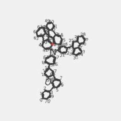 c1ccc(-c2cccc3c2oc2ccc(-c4ccc(N(c5ccc(-c6cc7ccccc7c7ccccc67)cc5)c5ccc6c(c5)C5(c7ccccc7-c7ccccc75)c5ccccc5-6)cc4)cc23)cc1